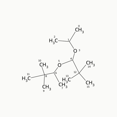 CC(C)OC(OC(C)C(C)(C)C)C(C)(C)C